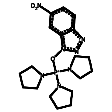 O=[N+]([O-])c1ccc2nnn(O[P+](N3CCCC3)(N3CCCC3)N3CCCC3)c2c1